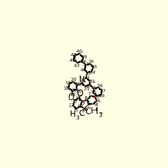 CC1(C)c2ccccc2-c2c1ccc1c2Oc2c(cccc2-c2cc(-c3ccccc3)cc(-c3cccc(-c4ccccc4)c3)n2)O1